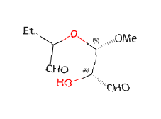 CCC(C=O)O[C@H](OC)[C@@H](O)C=O